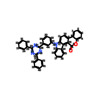 O=c1oc2ccccc2c2ccc3c(c4ccccc4n3-c3cccc(-c4nc(-c5ccccc5)nc(-c5ccccc5)n4)c3)c12